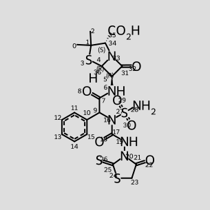 CC1(C)S[C@@H]2[C@H](NC(=O)C(c3ccccc3)N(C(=O)NN3C(=O)CSC3=S)S(N)(=O)=O)C(=O)N2[C@H]1C(=O)O